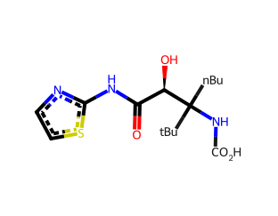 CCCCC(NC(=O)O)([C@H](O)C(=O)Nc1nccs1)C(C)(C)C